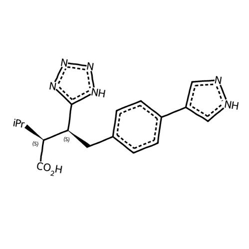 CC(C)[C@H](C(=O)O)[C@H](Cc1ccc(-c2cn[nH]c2)cc1)c1nnn[nH]1